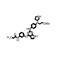 C=CC(=O)Nc1cccc(Oc2nc(Nc3ccc(N(CCOC)[C@H]4CCNC4)cc3)nc3[nH]ccc23)c1